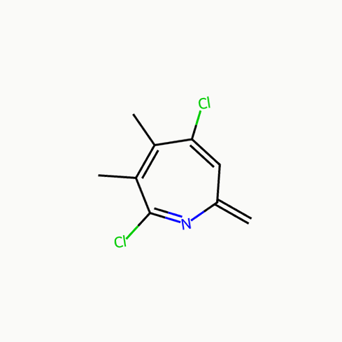 C=C1C=C(Cl)C(C)=C(C)C(Cl)=N1